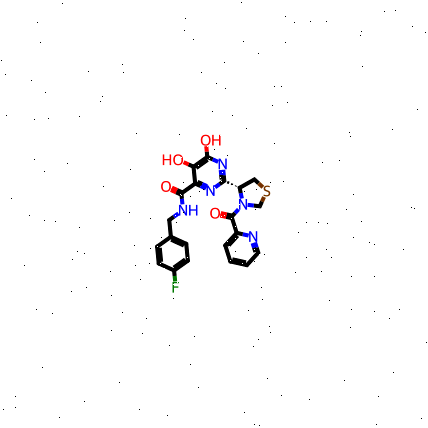 O=C(NCc1ccc(F)cc1)c1nc([C@@H]2CSCN2C(=O)c2ccccn2)nc(O)c1O